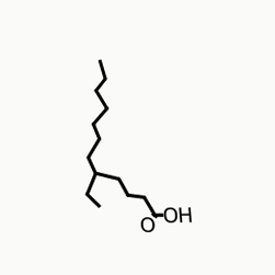 CCCCCCCC(CC)CCCC(=O)O